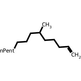 C=CCCCC(C)CCCCCCCC